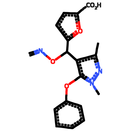 C=NOC(c1ccc(C(=O)O)o1)c1c(C)nn(C)c1Oc1ccccc1